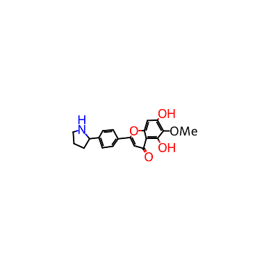 COc1c(O)cc2oc(-c3ccc(C4CCCN4)cc3)cc(=O)c2c1O